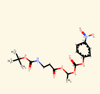 CC(OC(=O)CCNC(=O)OC(C)(C)C)OC(=O)Oc1ccc([N+](=O)[O-])cc1